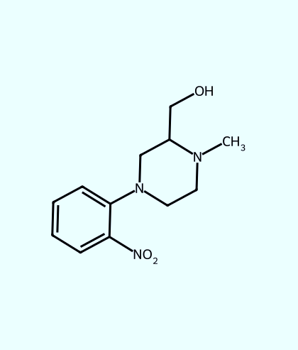 CN1CCN(c2ccccc2[N+](=O)[O-])CC1CO